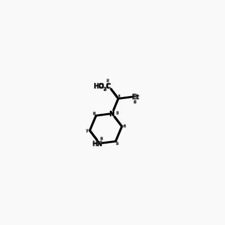 CCC(C(=O)O)N1CCNCC1